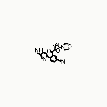 N#Cc1ccc(-c2ccc(CN)cn2)c(C(=O)c2nnc(N3CCOCC3)o2)c1